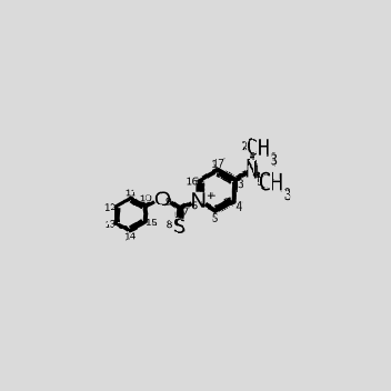 CN(C)c1cc[n+](C(=S)Oc2ccccc2)cc1